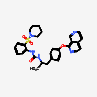 O=C(Nc1ccccc1S(=O)(=O)N1CCCCC1)NC(Cc1ccc(Oc2nccc3ccncc23)cc1)C(=O)O